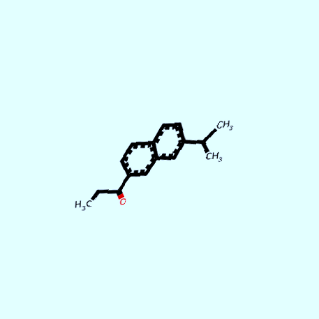 CCC(=O)c1ccc2ccc(C(C)C)cc2c1